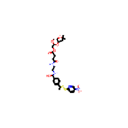 COC(COC(=O)CCC(=O)NCCNC(O)c1ccc(C(C)SSc2ccc([N+](=O)[O-])cn2)cc1)OC1COC(C)(C)C1